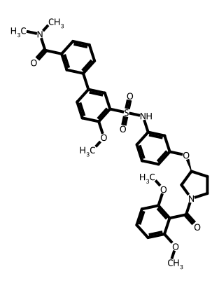 COc1ccc(-c2cccc(C(=O)N(C)C)c2)cc1S(=O)(=O)Nc1cccc(O[C@H]2CCN(C(=O)c3c(OC)cccc3OC)C2)c1